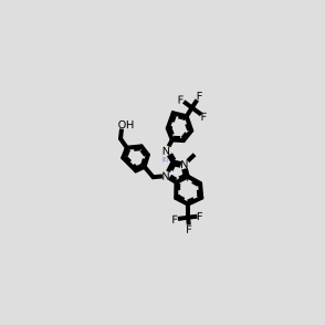 Cn1/c(=N\c2ccc(C(F)(F)F)cc2)n(Cc2ccc(CO)cc2)c2cc(C(F)(F)F)ccc21